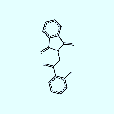 Cc1ccccc1C(=O)CN1C(=O)c2ccccc2C1=O